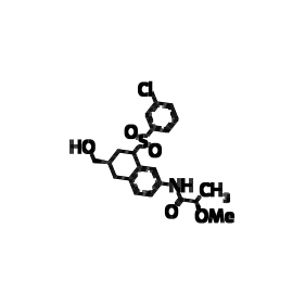 CO[C@H](C)C(=O)Nc1ccc2c(c1)C(S(=O)(=O)c1cccc(Cl)c1)C[C@H](CO)C2